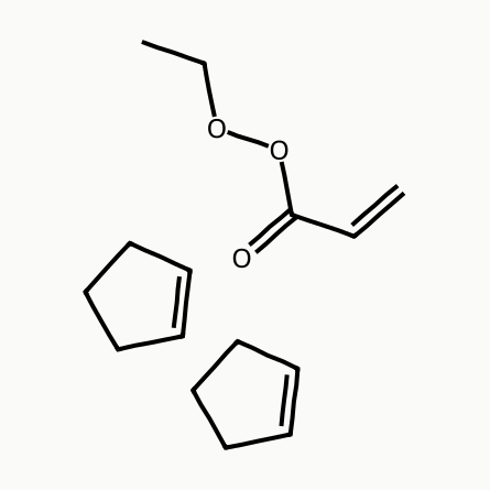 C1=CCCC1.C1=CCCC1.C=CC(=O)OOCC